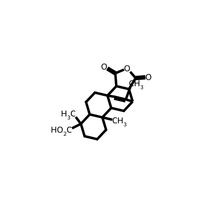 CC1=CC23CCC4C(C)(C(=O)O)CCCC4(C)C2CC1C1C(=O)OC(=O)C13